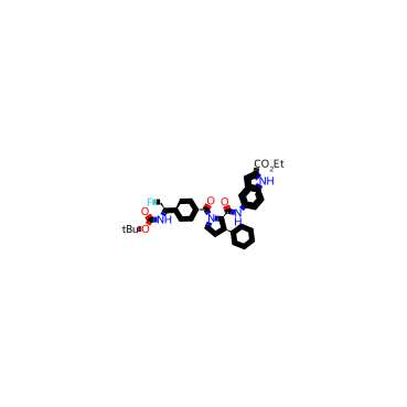 CCOC(=O)c1cc2cc(NC(=O)[C@@H]3[C@H](C4CCCCC4)CCN3C(=O)[C@H]3CC[C@H]([C@@H](CF)NC(=O)OC(C)(C)C)CC3)ccc2[nH]1